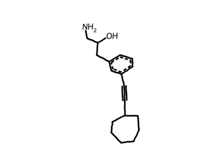 NCC(O)Cc1cccc(C#CC2CCCCCC2)c1